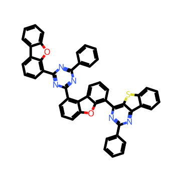 c1ccc(-c2nc(-c3cccc4c3oc3ccccc34)nc(-c3cccc4oc5c(-c6nc(-c7ccccc7)nc7c6sc6ccccc67)cccc5c34)n2)cc1